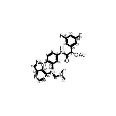 CC(=O)O[C@@H](C(=O)Nc1ccc(-n2ncc3ncnc(/N=C/N(C)C)c32)c(C)c1)c1cc(F)cc(F)c1